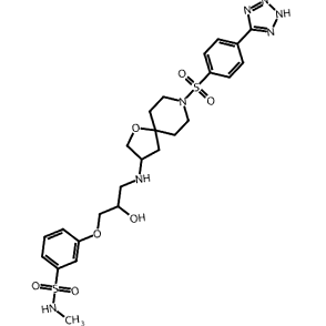 CNS(=O)(=O)c1cccc(OCC(O)CNC2COC3(CCN(S(=O)(=O)c4ccc(-c5nn[nH]n5)cc4)CC3)C2)c1